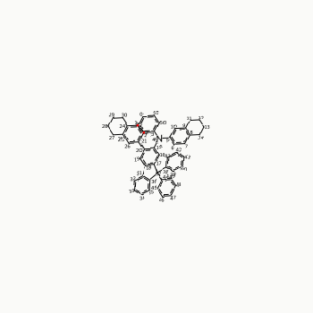 c1ccc(N(c2ccc3c(c2)CCCC3)c2cc3c(cc2-c2ccc4c(c2)CCCC4)-c2ccccc2C3(c2ccccc2)c2ccccc2)cc1